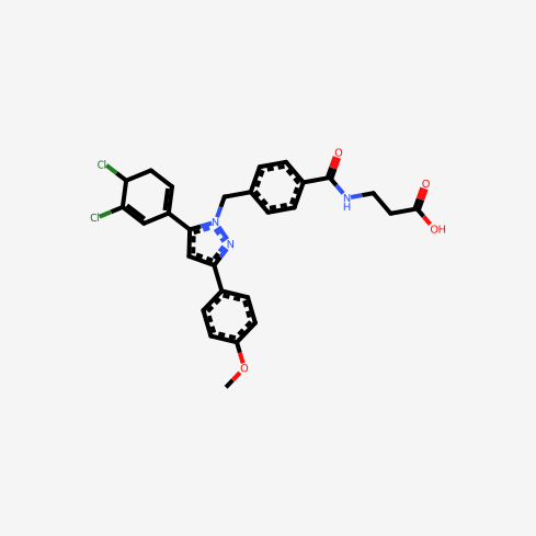 COc1ccc(-c2cc(C3=CCC(Cl)C(Cl)=C3)n(Cc3ccc(C(=O)NCCC(=O)O)cc3)n2)cc1